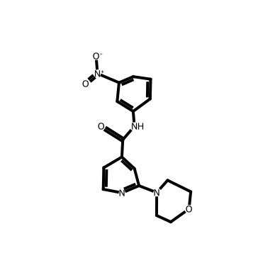 O=C(Nc1cccc([N+](=O)[O-])c1)c1ccnc(N2CCOCC2)c1